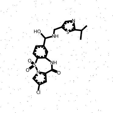 CC(C)c1ncc(CNC(O)c2ccc3c(c2)NC(=O)c2cc(Cl)cn2S3(=O)=O)s1